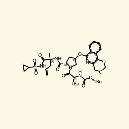 C=CC[C@@](C)(NC(=O)[C@@H]1C[C@@H](Oc2nc3c(c4ccccc24)OCOC3)CN1C(=O)[C@@H](NC(=O)OC(C)(C)C)C(C)(C)C)C(=O)NS(=O)(=O)C1CC1